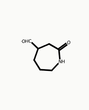 O=[C]C1CCCNC(=O)C1